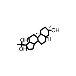 CC(O)(O)C1CCC2C3CC[C@H]4C[C@](C)(O)CC[C@]4(C)C3CC[C@@]21C